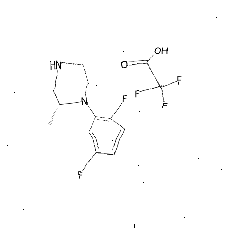 C[C@@H]1CNCCN1c1cc(F)ccc1F.O=C(O)C(F)(F)F